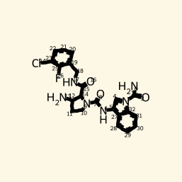 NC(=O)n1cc(NC(=O)N2CCC(N)C2C(=O)NCc2cccc(Cl)c2F)c2ccccc21